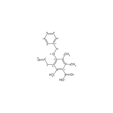 Cc1c(C)c(C(=O)O)c(C)c(CC=O)c1OCc1ccccc1